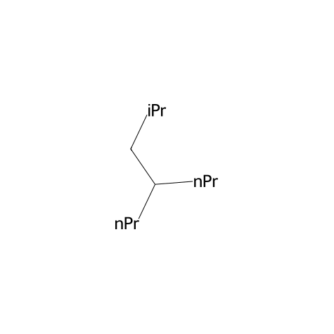 [CH2]CCC(CCC)CC(C)C